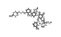 Cc1c(OCCCN2CCC(O)CC2)cccc1-c1cccc2c1C[C@H](F)[C@@H]2Oc1cc(OCc2cncc(C#N)c2)c(CN[C@@](C)(CO)C(=O)O)cc1Cl